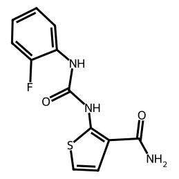 NC(=O)c1ccsc1NC(=O)Nc1ccccc1F